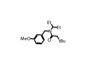 CCC(CC)N(Cc1cccc(OC)c1)C(=O)CC(C)(C)C